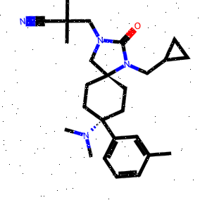 Cc1cccc([C@]2(N(C)C)CC[C@@]3(CC2)CN(CC(C)(C)C#N)C(=O)N3CC2CC2)c1